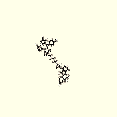 Cc1sc2c(c1C)C(c1ccc(Cl)cc1)=N[C@@H](CC(=O)NCCCCOCCNc1cccc3c1C(=O)N(C1CCC(=O)NC1=O)C3=O)c1nnc(C)n1-2